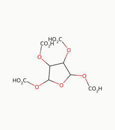 O=C(O)OC1OC(OC(=O)O)C(OC(=O)O)C1OC(=O)O